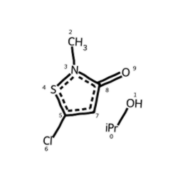 CC(C)O.Cn1sc(Cl)cc1=O